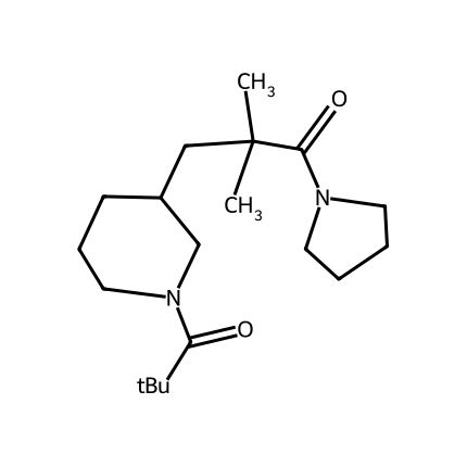 CC(C)(C)C(=O)N1CCCC(CC(C)(C)C(=O)N2CCCC2)C1